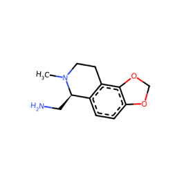 CN1CCc2c(ccc3c2OCO3)[C@H]1CN